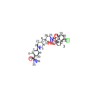 Cc1cc(N2CCC(CC3CCN(C(=O)C(O)(c4cccc(Cl)c4)C(F)(F)F)CC3)CC2)ccc1C(=O)N(C)C